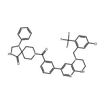 O=C(c1cccc(-c2cnc3c(c2)N(Cc2cc(Cl)ccc2C(F)(F)F)CCN3)c1)N1CCC2(CC1)C(=O)NCN2c1ccccc1